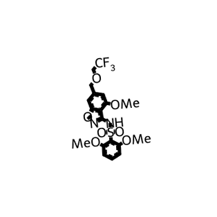 COc1cccc(OC)c1S(=O)(=O)Nc1noc2cc(COCC(F)(F)F)cc(OC)c12